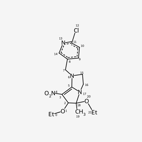 CCOC1C([N+](=O)[O-])=C2N(Cc3ccc(Cl)nc3)CCN2C1(C)OCC